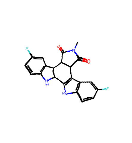 CN1C(=O)C2c3c([nH]c4ccc(F)cc34)C3Nc4ccc(F)cc4C3C2C1=O